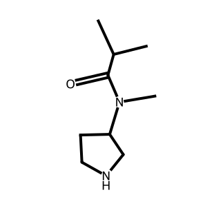 CC(C)C(=O)N(C)C1CCNC1